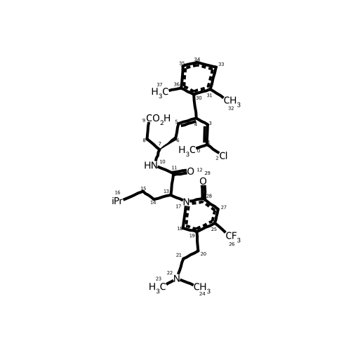 C/C(Cl)=C\C(=C/C[C@H](CC(=O)O)NC(=O)C(CCC(C)C)n1cc(CCN(C)C)c(C(F)(F)F)cc1=O)c1c(C)cccc1C